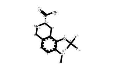 COc1ccc2c(c1OC(F)(F)F)C[C@@H](C(=O)O)NC2